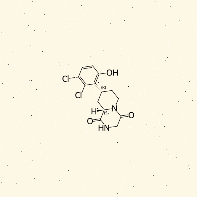 O=C1NCC(=O)N2CC[C@@H](c3c(O)ccc(Cl)c3Cl)C[C@@H]12